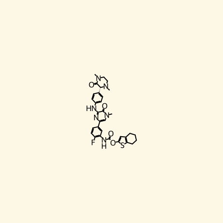 CN1CCN(C)[C@H](c2ccc(Nc3nc(-c4ccc(F)c(NC(=O)Oc5cc6c(s5)CCCC6)c4)cn(C)c3=O)cc2)C1=O